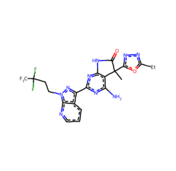 CCc1nnc(C2(C)C(=O)Nc3nc(-c4nn(CCC(F)(F)C(F)(F)F)c5ncccc45)nc(N)c32)o1